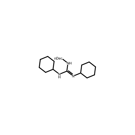 CCCCCCCCCCN/C(=N\C1CCCCC1)NC1CCCCC1